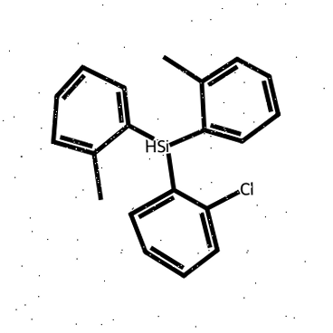 Cc1ccccc1[SiH](c1ccccc1C)c1ccccc1Cl